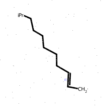 [CH2]/C=C/CCCCCCC(C)C